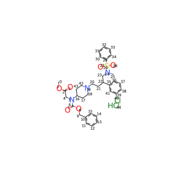 COC(=O)CN(C(=O)OCc1ccccc1)C1CCN(CCC(CN(C)S(=O)(=O)c2ccccc2)c2cccc(Cl)c2)CC1.Cl